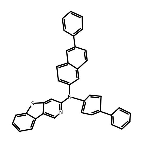 c1ccc(-c2ccc(N(c3ccc4cc(-c5ccccc5)ccc4c3)c3cc4sc5ccccc5c4cn3)cc2)cc1